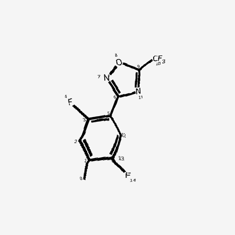 Cc1cc(F)c(-c2noc(C(F)(F)F)n2)cc1F